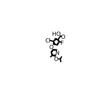 Cc1cc(Oc2cc(F)c(C(=O)O)cc2Cl)cnc1OC(C)C